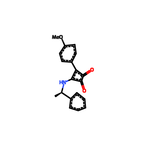 COc1ccc(-c2c(N[C@H](C)c3ccccc3)c(=O)c2=O)cc1